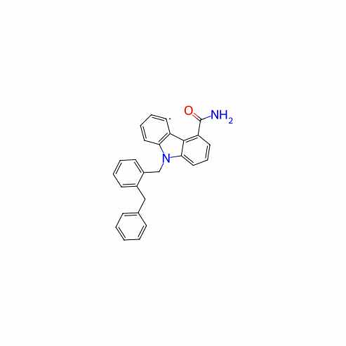 NC(=O)c1cccc2c1c1[c]cccc1n2Cc1ccccc1Cc1ccccc1